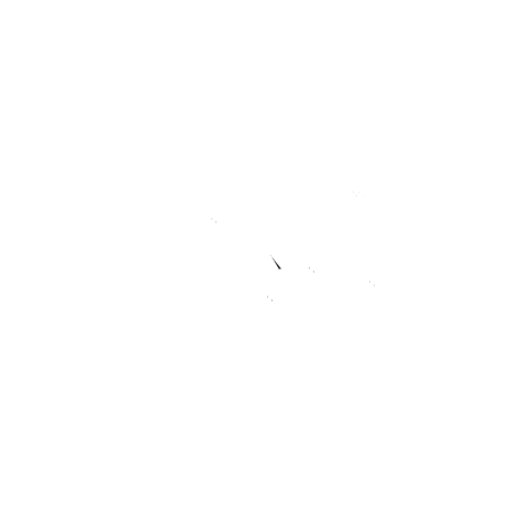 COCc1cnc(Cl)c2cnc([C@@H]3CCCN(C(=O)O)C3)n12